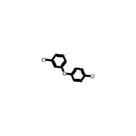 Clc1ccc(Oc2c[c]cc(Cl)c2)cc1